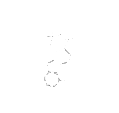 CN1CC(C)(C)CC2C3=Cc4cccc(Br)c4C3=CC=C21